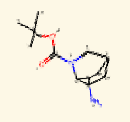 CC(C)(C)OC(=O)N1CC2CCC1C(N)C2